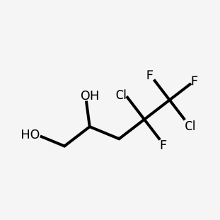 OCC(O)CC(F)(Cl)C(F)(F)Cl